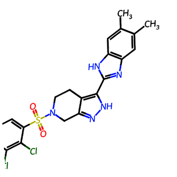 Cc1cc2nc(-c3[nH]nc4c3CCN(S(=O)(=O)c3cccc(Cl)c3Cl)C4)[nH]c2cc1C